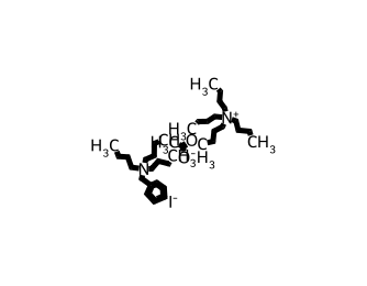 CC(=O)[O-].CCCC[N+](CCCC)(CCCC)CCCC.CCCC[N+](CCCC)(CCCC)Cc1ccccc1.[I-]